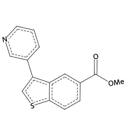 COC(=O)c1ccc2scc(-c3cccnc3)c2c1